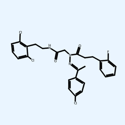 C/C(=N\N(CC(=O)NCCc1c(Cl)cccc1Cl)C(=O)CCc1ccccc1F)c1ccc(Cl)cc1